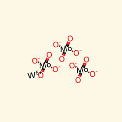 [O]=[Mo](=[O])([O-])[O-].[O]=[Mo](=[O])([O-])[O-].[O]=[Mo](=[O])([O-])[O-].[W+6]